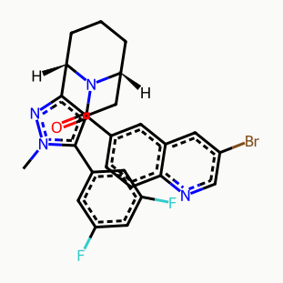 Cn1nc2c(c1-c1cc(F)cc(F)c1)C[C@H]1CCC[C@@H]2N1C(=O)c1ccc2ncc(Br)cc2c1